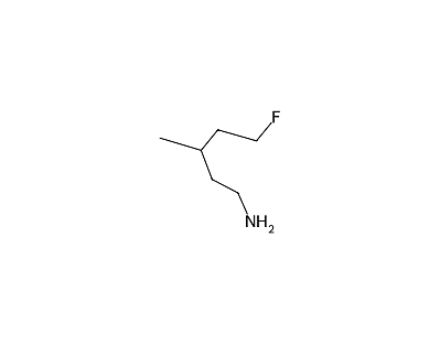 CC(CCN)CCF